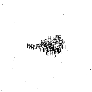 CC(NC(=O)[C@@H]1C[C@]2(COCCN=[N+]=[N-])C[C@@H]2N1C(=O)CNC(=O)c1ccc2c(c1)-c1ccccc1C2(F)F)c1cc(C(=N)NC(=O)O)cs1